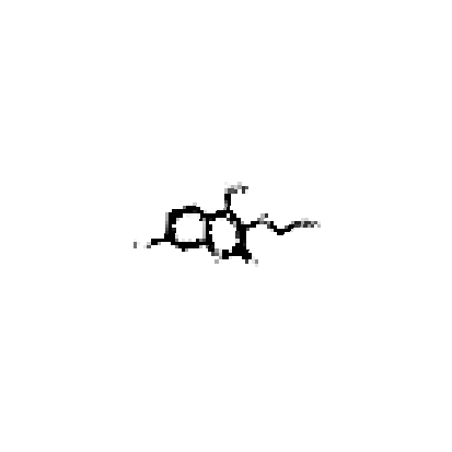 CCCCCCCCCCOc1c(OC)c2ccc(O)cc2oc1=O